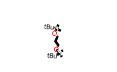 CC(C)(C)[Si](C)(C)OCCCO[Si](C)(C)C(C)(C)C